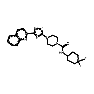 O=C(NC1CCC(F)(F)CC1)N1CCN(c2nc(-c3ccc4ccccc4n3)ns2)CC1